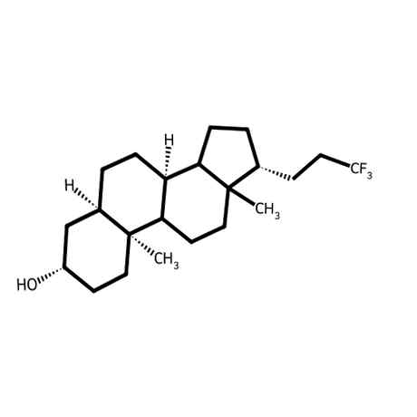 CC12CCC3[C@@H](CC[C@@H]4C[C@@H](O)CC[C@]34C)C1CC[C@@H]2CCC(F)(F)F